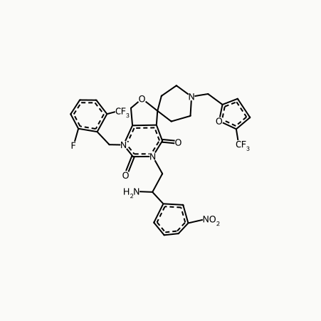 NC(Cn1c(=O)c2c(n(Cc3c(F)cccc3C(F)(F)F)c1=O)COC21CCN(Cc2ccc(C(F)(F)F)o2)CC1)c1cccc([N+](=O)[O-])c1